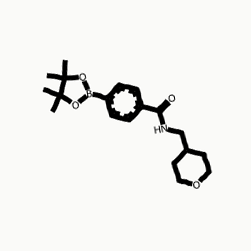 CC1(C)OB(c2ccc(C(=O)NCC3CCOCC3)cc2)OC1(C)C